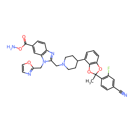 CC1(c2ccc(C#N)cc2F)Oc2cccc(C3CCN(Cc4nc5ccc(C(=O)ON)cc5n4Cc4ncco4)CC3)c2O1